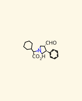 O=C[C@H]1CN([C@@H](C(=O)O)C2CCCCC2)C[C@@H]1c1ccccc1